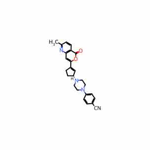 Cc1ccc2c(=O)oc(C3=C[C@H](N4CCN(c5ccc(C#N)cc5)CC4)CC3)cc2n1